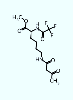 COC(=O)[C@H](CCCCNC(=O)CC(C)=O)NC(=O)C(F)(F)F